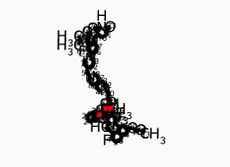 C#Cc1c(F)ccc2cc(OCOC)cc(-c3ncc4c(N5CC6CCC(C5)N6C(=O)OC(C)(C)C)nc(OCCN5CCC6(CC5)CCN(CC5CCN(c7ccc8c(c7F)n(C(C)C)c(=O)n8C7CCC(=O)NC7=O)CC5)CC6)nc4c3F)c12